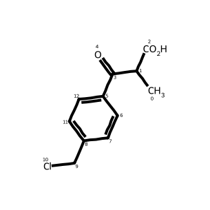 CC(C(=O)O)C(=O)c1ccc(CCl)cc1